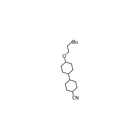 CCC(C)CCOC1CCC(C2CCC(C#N)CC2)CC1